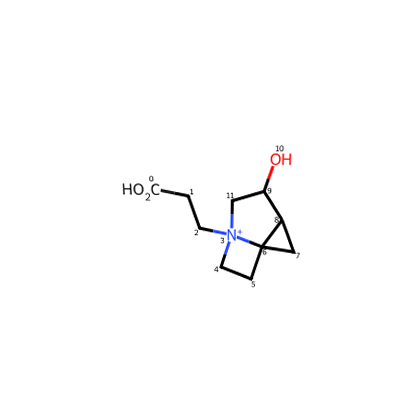 O=C(O)CC[N+]12CCC13CC3C(O)C2